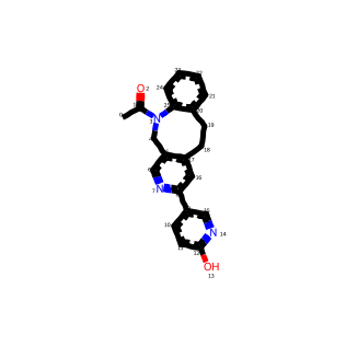 CC(=O)N1Cc2cnc(-c3ccc(O)nc3)cc2CCc2ccccc21